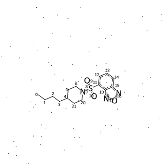 CCCCC1CCN(S(=O)(=O)c2cccc3nonc23)CC1